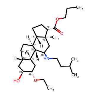 CCCOC(=O)[C@H]1CC[C@H]2[C@@H]3CC[C@H]4C[C@H](O)[C@@H](OCC)C[C@]4(C)[C@H]3[C@H](NCCC(C)C)C[C@]12C